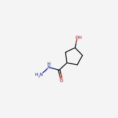 NNC(=O)C1CCC(O)C1